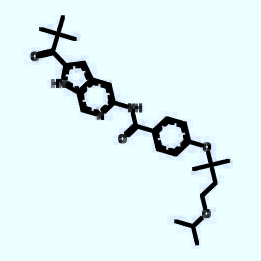 CC(C)OCCC(C)(C)Oc1ccc(C(=O)Nc2cc3cc(C(=O)C(C)(C)C)[nH]c3cn2)cc1